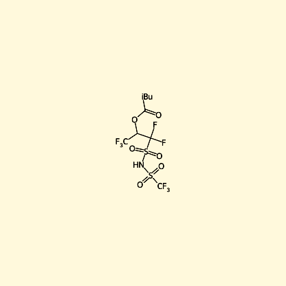 CCC(C)C(=O)OC(C(F)(F)F)C(F)(F)S(=O)(=O)NS(=O)(=O)C(F)(F)F